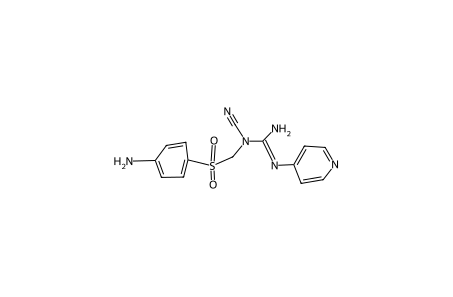 N#CN(CS(=O)(=O)c1ccc(N)cc1)C(N)=Nc1ccncc1